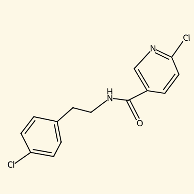 O=C(NCCc1ccc(Cl)cc1)c1ccc(Cl)nc1